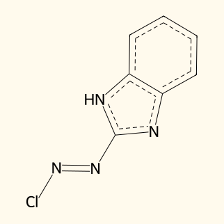 Cl/N=N/c1nc2ccccc2[nH]1